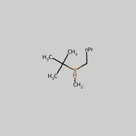 [CH2][SH](CCCC)C(C)(C)C